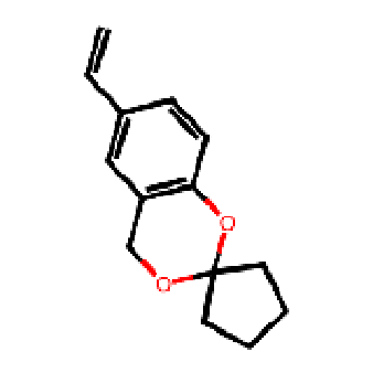 C=Cc1ccc2c(c1)COC1(CCCC1)O2